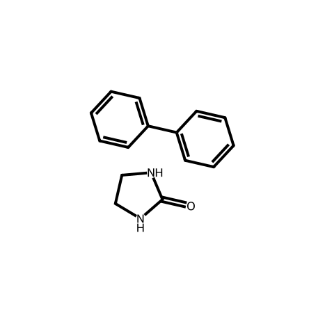 O=C1NCCN1.c1ccc(-c2ccccc2)cc1